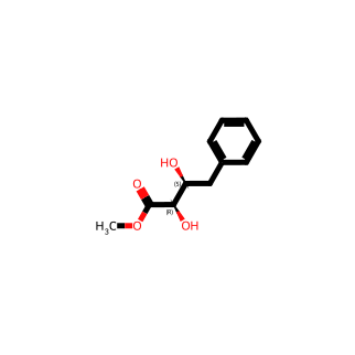 COC(=O)[C@H](O)[C@@H](O)Cc1ccccc1